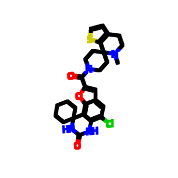 CN1CCc2ccsc2C12CCN(C(=O)c1cc3cc(Cl)c4c(c3o1)C1(CCCCC1)NC(=O)N4)CC2